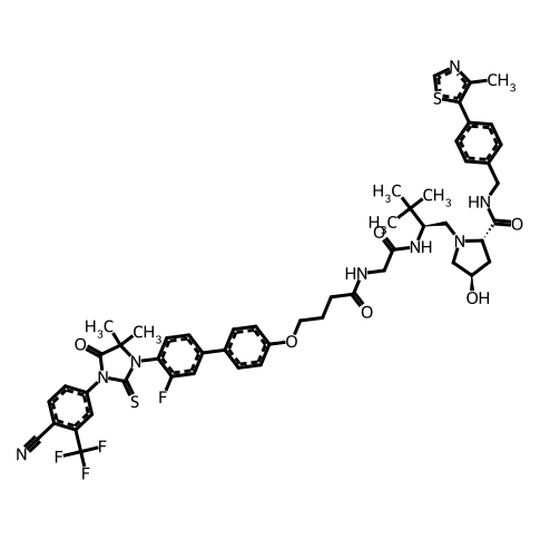 Cc1ncsc1-c1ccc(CNC(=O)[C@@H]2C[C@@H](O)CN2C[C@@H](NC(=O)CNC(=O)CCCOc2ccc(-c3ccc(N4C(=S)N(c5ccc(C#N)c(C(F)(F)F)c5)C(=O)C4(C)C)c(F)c3)cc2)C(C)(C)C)cc1